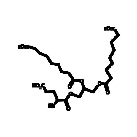 CCCCCCCCCCCCCCCCCC(=O)OCC(COC(=O)C(CCC(=O)O)N=O)OC(=O)CCCCCCCCCCCCCCCCC